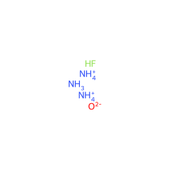 F.N.[NH4+].[NH4+].[O-2]